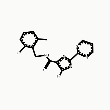 CCc1nc(-c2ncccn2)sc1C(=O)NCc1c(C)cccc1Cl